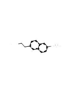 COc1ccc2cc(CC[C]=O)ccc2c1